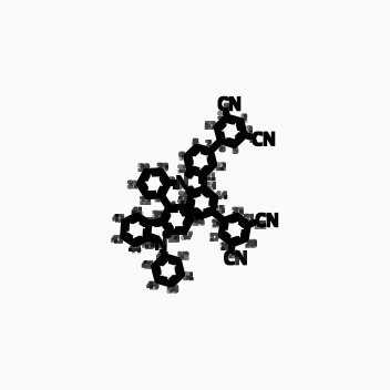 N#Cc1cc(C#N)cc(-c2ccc3c(c2)c2cc(-c4cc(C#N)cc(C#N)c4)ccc2n3-c2ccccc2-c2cccc3c2c2ccccc2n3-c2ccccc2)c1